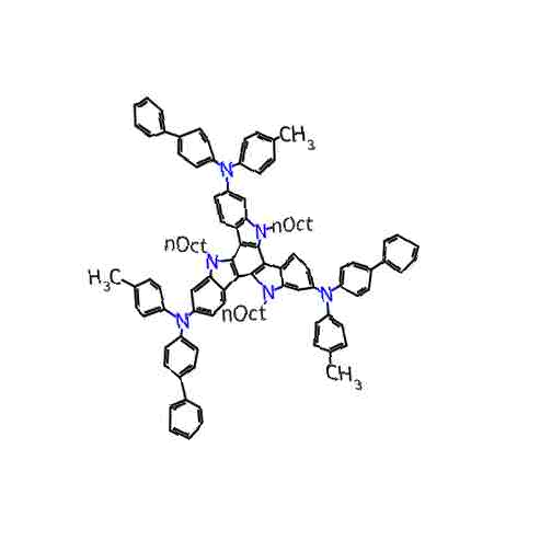 CCCCCCCCn1c2cc(N(c3ccc(C)cc3)c3ccc(-c4ccccc4)cc3)ccc2c2c1c1c3ccc(N(c4ccc(C)cc4)c4ccc(-c5ccccc5)cc4)cc3n(CCCCCCCC)c1c1c3ccc(N(c4ccc(C)cc4)c4ccc(-c5ccccc5)cc4)cc3n(CCCCCCCC)c21